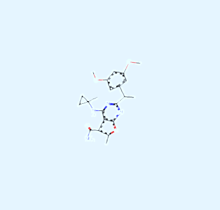 COc1cc(OC)cc(C(C)c2nc(NC3(C)CC3)c3c(C(N)=O)c(C)oc3n2)c1